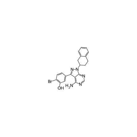 Nc1ncnc2c1c(-c1ccc(Br)c(O)c1)nn2C1CCc2ccccc2C1